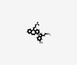 CN(C)CCC=C1c2ccccc2C=Cc2ccccc21.NCCc1c[nH]c2ccc(O)cc12